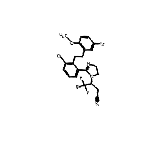 COc1ccc(Br)cc1CCc1c(Cl)cccc1C1=NCCN1C(CC#N)C(F)(F)F